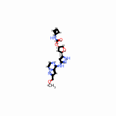 COCc1cc2c(Nc3cc([C@H]4C[C@@H](OC(=O)NC56CC(C5)C6)CO4)[nH]n3)nccn2n1